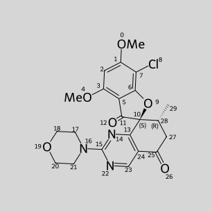 COc1cc(OC)c2c(c1Cl)O[C@]1(C2=O)c2nc(N3CCOCC3)ncc2C(=O)C[C@H]1C